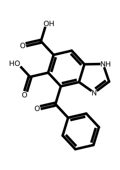 O=C(O)c1cc2[nH]cnc2c(C(=O)c2ccccc2)c1C(=O)O